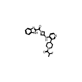 CC(F)C(=O)N1CCC(c2cnccc2NC2CN(C(=O)c3nc4ccccc4[nH]3)C2)CC1